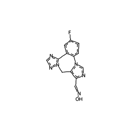 ON=Cc1ncn2c1Cn1ncnc1-c1cc(F)ccc1-2